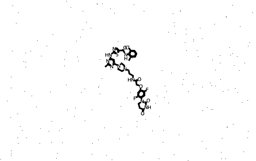 Cc1nc(Nc2ncc(C(=O)Nc3c(C)cccc3Cl)s2)cc(N2CCN(CCCNC(=O)COc3cc(F)c(N4CCC(=O)NC4=O)cc3F)CC2)n1